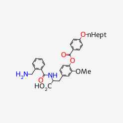 CCCCCCCOc1ccc(C(=O)Oc2ccc(CC(NC(=O)c3ccccc3CN)C(=O)O)cc2OC)cc1